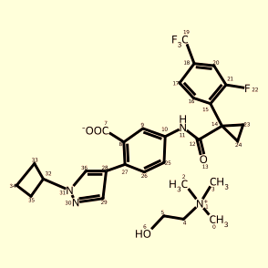 C[N+](C)(C)CCO.O=C([O-])c1cc(NC(=O)C2(c3ccc(C(F)(F)F)cc3F)CC2)ccc1-c1cnn(C2CCC2)c1